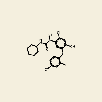 O=C(NC1CCCCC1)N(S)c1cc(Oc2ccc(Cl)cc2Cl)c(O)cc1Cl